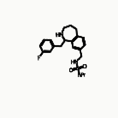 CCCS(=O)(=O)NCc1ccc2c(c1)C(Cc1cccc(F)c1)NCCC2